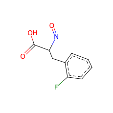 O=NC(Cc1ccccc1F)C(=O)O